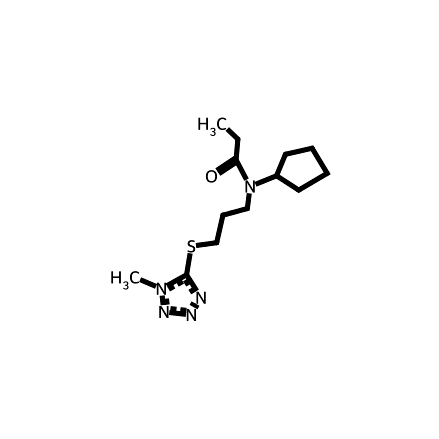 CCC(=O)N(CCCSc1nnnn1C)C1CCCC1